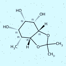 C[C@@H]1[C@H](O)[C@H](O)[C@H](O)[C@@H]2OC(C)(C)O[C@H]12